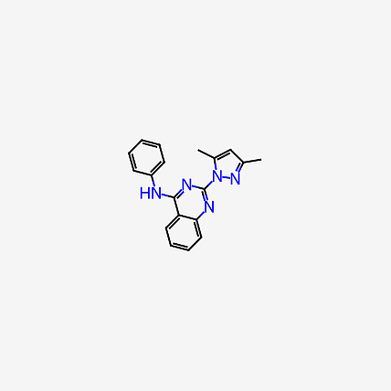 Cc1cc(C)n(-c2nc(Nc3ccccc3)c3ccccc3n2)n1